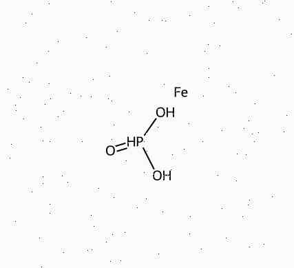 O=[PH](O)O.[Fe]